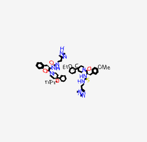 CCCOC1(C2CCCCC2)CCN(C(=O)[C@@H](Cc2ccccc2)NC(=O)NCCc2c[nH]cn2)CC1.CCOC(=O)C1(C2CCCCC2)CCN(C(=O)[C@@H](Cc2ccc(OC)cc2)NC(=S)NCCc2cncn2C)CC1